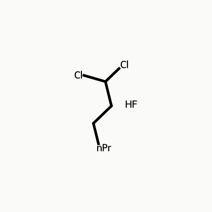 CCCCCC(Cl)Cl.F